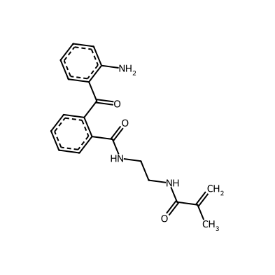 C=C(C)C(=O)NCCNC(=O)c1ccccc1C(=O)c1ccccc1N